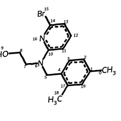 Cc1ccc(CN(CCO)c2cccc(Br)n2)c(C)c1